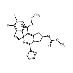 CCOC(=O)C1=C2CC(NC(=O)OC)CN2C(c2nccs2)=NC12C=Cc1c2ccc(F)c1F